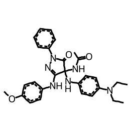 CCN(CC)c1ccc(NC2(NC(C)=O)C(=O)N(c3ccccc3)N=C2Nc2ccc(OC)cc2)cc1